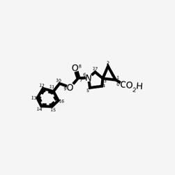 O=C(O)C1CC12CCN(C(=O)OCc1ccccc1)C2